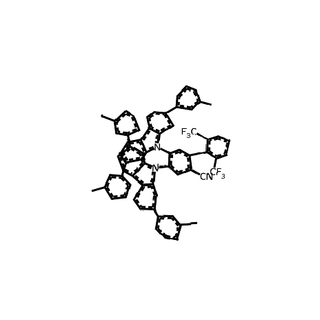 Cc1cccc(-c2ccc3c4ccc(-c5cccc(C)c5)cc4n(-c4cc(C#N)c(-c5c(C(F)(F)F)cccc5C(F)(F)F)cc4-n4c5cc(-c6cccc(C)c6)ccc5c5ccc(-c6cccc(C)c6)cc54)c3c2)c1